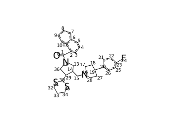 O=C(c1cccc2ccccc12)N1CC(CN2CCC(c3ccc(F)cc3)CC2)C(C2SCCCS2)C1